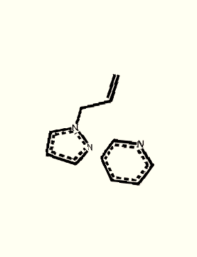 C=CCn1cccn1.c1ccncc1